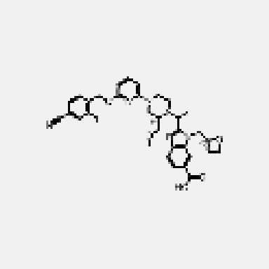 COC[C@H]1CN(c2cccc(OCc3ccc(C#N)cc3F)n2)CCN1C(C)c1nc2ccc(C(=O)O)cc2n1C[C@@H]1CCO1